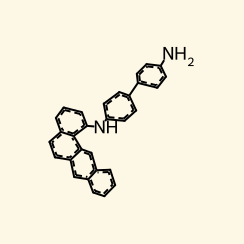 Nc1ccc(-c2ccc(Nc3cccc4ccc5cc6ccccc6cc5c34)cc2)cc1